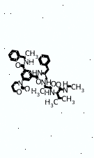 CCNC(=O)[C@@H](NC(=O)[C@H](C)NC[C@H](Cc1ccccc1)NC(=O)c1cc(C(=O)N[C@H](C)c2ccccc2)cc(N2CCCOC2=O)c1)C(C)C